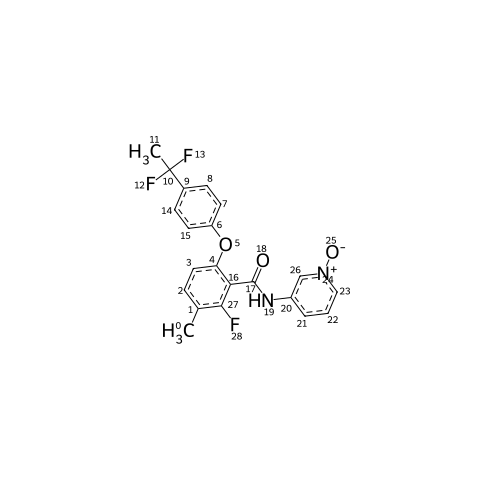 Cc1ccc(Oc2ccc(C(C)(F)F)cc2)c(C(=O)Nc2ccc[n+]([O-])c2)c1F